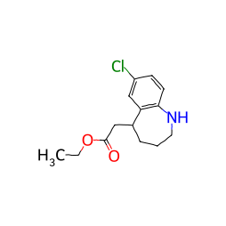 CCOC(=O)CC1CCCNc2ccc(Cl)cc21